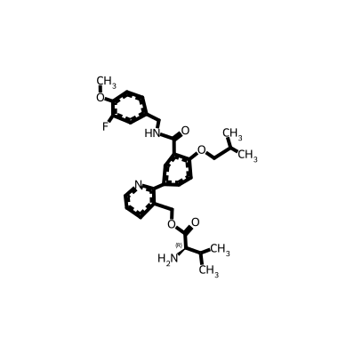 COc1ccc(CNC(=O)c2cc(-c3ncccc3COC(=O)[C@H](N)C(C)C)ccc2OCC(C)C)cc1F